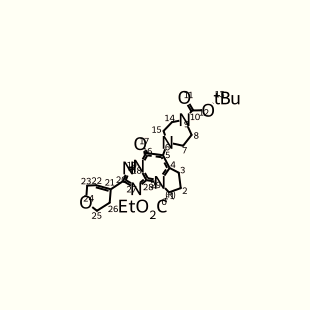 CCOC(=O)[C@H]1CCc2c(N3CCN(C(=O)OC(C)(C)C)CC3)c(=O)n3nc(C4=CCOCC4)nc3n21